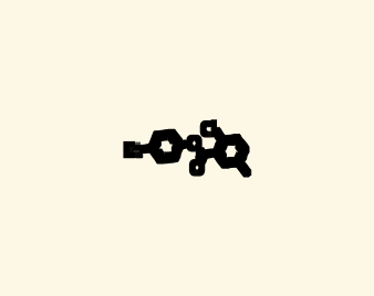 CCc1ccc(OC(=O)c2cc(C)ccc2Cl)cc1